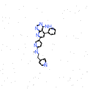 CN(CCc1ccncc1)c1ccc(-c2cc(-c3ccccc3)c3c(N)ncnc3n2)cn1